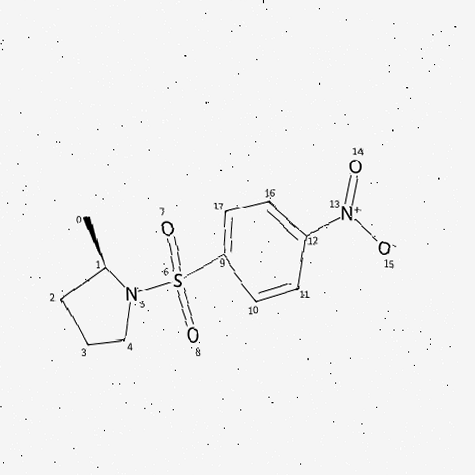 C[C@@H]1CCCN1S(=O)(=O)c1ccc([N+](=O)[O-])cc1